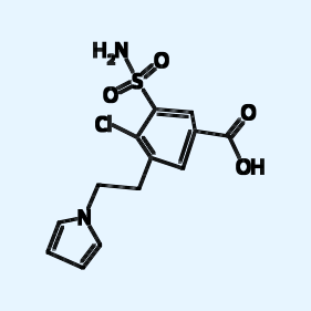 NS(=O)(=O)c1cc(C(=O)O)cc(CCn2cccc2)c1Cl